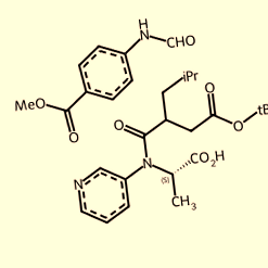 CC(C)CC(CC(=O)OC(C)(C)C)C(=O)N(c1cccnc1)[C@@H](C)C(=O)O.COC(=O)c1ccc(NC=O)cc1